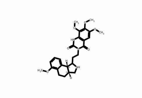 COc1cccc2c1CC[C@H]1CNC(CCn3c(=O)[nH]c4c(OC)c(OC)c(OC)cc4c3=O)[C@@H]21